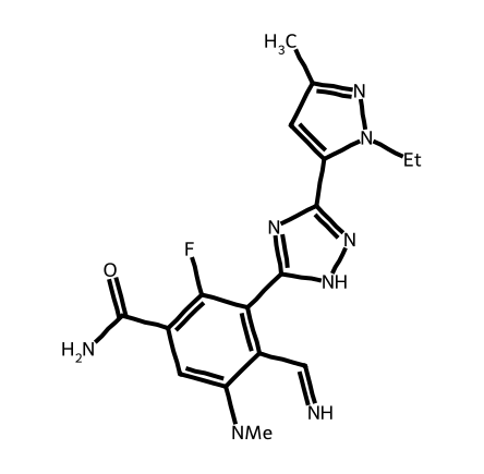 CCn1nc(C)cc1-c1n[nH]c(-c2c(F)c(C(N)=O)cc(NC)c2C=N)n1